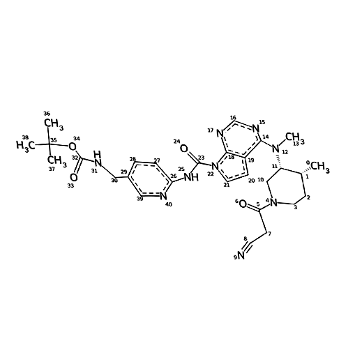 C[C@@H]1CCN(C(=O)CC#N)C[C@@H]1N(C)c1ncnc2c1ccn2C(=O)Nc1ccc(CNC(=O)OC(C)(C)C)cn1